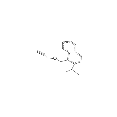 C#CCOCc1c(C(C)C)ccc2ccccc12